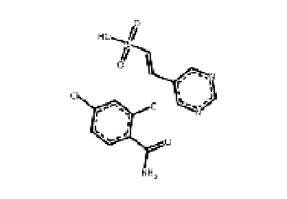 NC(=O)c1ccc(Cl)cc1Cl.O=S(=O)(O)/C=C/c1cncnc1